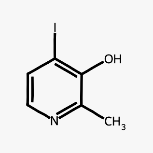 Cc1nccc(I)c1O